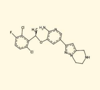 C[C@@H](Oc1cc(-c2cc3n(n2)CCNC3)cnc1N)c1c(Cl)ccc(F)c1Cl